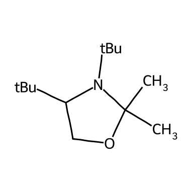 CC(C)(C)C1COC(C)(C)N1C(C)(C)C